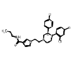 CCCNC(=O)c1ccn(CCN2CCN(c3ccc(Cl)cc3Cl)[C@H](c3ccc(Cl)cc3)C2)c1